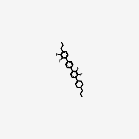 CCCc1ccc(-c2ccc(-c3ccc(C4=CCC(CCC)CC4)c(F)c3F)cc2)c(F)c1F